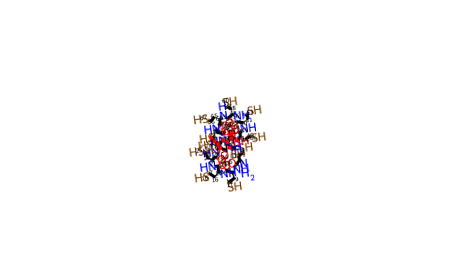 N[C@@H](CCS)C(=O)N[C@@H](CCS)C(=O)N[C@@H](CCS)C(=O)N[C@@H](CCS)C(=O)N[C@@H](CCS)C(=O)N[C@@H](CCS)C(=O)N[C@@H](CCS)C(=O)N[C@@H](CCS)C(=O)N[C@@H](CCS)C(=O)N[C@@H](CCS)C(=O)N[C@@H](CCS)C(=O)N[C@@H](CCS)C(=O)O